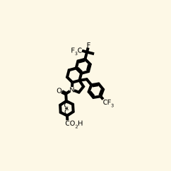 CC(F)(c1ccc2c(c1)CCC1N(C(=O)C34CCC(C(=O)O)(CC3)CC4)CCC21Cc1ccc(C(F)(F)F)cc1)C(F)(F)F